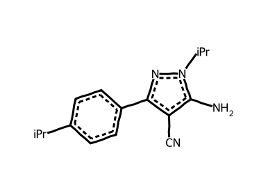 CC(C)c1ccc(-c2nn(C(C)C)c(N)c2C#N)cc1